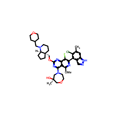 COc1nc(-c2c(Cl)c(C)cc3[nH]ncc23)c(F)c2nc(OC[C@]34CCC[C@H]3N(CC3CCOCC3)CCC4)nc(N3CCOC[C@@](C)(O)C3)c12